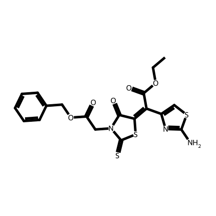 CCOC(=O)/C(=C1/SC(=S)N(CC(=O)OCc2ccccc2)C1=O)c1csc(N)n1